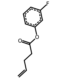 C=CCCC(=O)Oc1cccc(F)c1